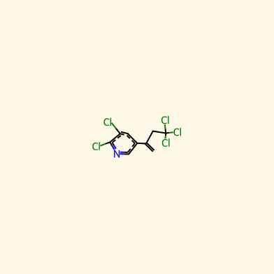 C=C(CC(Cl)(Cl)Cl)c1cnc(Cl)c(Cl)c1